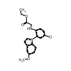 CCOC(=O)CNc1ccc(Cl)cc1-n1ccc2cc(OC)ccc21